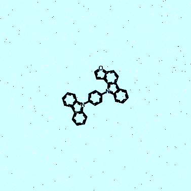 c1ccc2c(c1)c1ccccc1n2-c1ccc(-n2c3ccccc3c3ccc4occc4c32)cc1